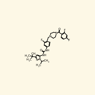 CC(C)n1nc(C(C)(C)C)cc1NC(=O)Nc1ccc(CN2CCN(C(=O)c3ccc(F)cc3F)CC2)c(F)c1